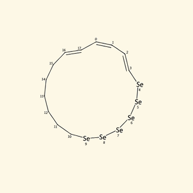 C1=C\C=C\[Se][Se][Se][Se][Se][Se]CCCCCC/C=C/1